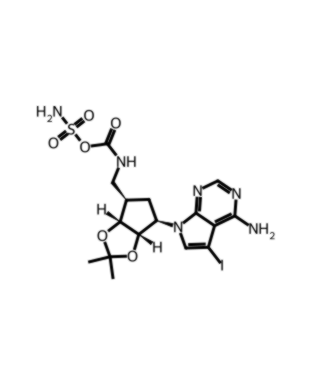 CC1(C)O[C@@H]2[C@@H](CNC(=O)OS(N)(=O)=O)C[C@@H](n3cc(I)c4c(N)ncnc43)[C@@H]2O1